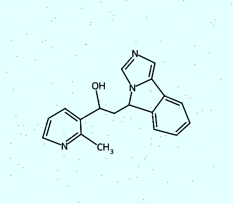 Cc1ncccc1C(O)CC1c2ccccc2-c2cncn21